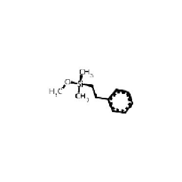 CO[Si](C)(C)CCc1ccccc1